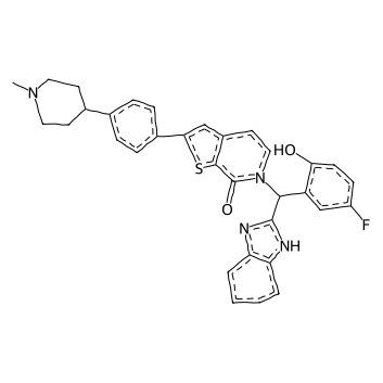 CN1CCC(c2ccc(-c3cc4ccn(C(c5nc6ccccc6[nH]5)c5cc(F)ccc5O)c(=O)c4s3)cc2)CC1